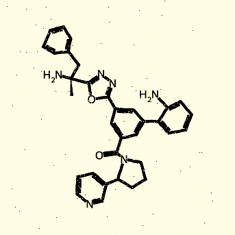 C[C@@](N)(Cc1ccccc1)c1nnc(-c2cc(C(=O)N3CCCC3c3cccnc3)cc(-c3ccccc3N)c2)o1